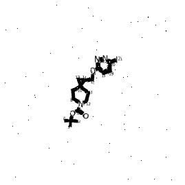 CC(C)(C)OC(=O)N1CCC2(CC1)CC2COc1ccc(I)nn1